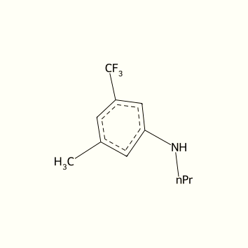 CCCNc1cc(C)cc(C(F)(F)F)c1